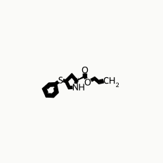 C=CCOC(=O)[C@@H]1CC(Sc2ccccc2)CN1